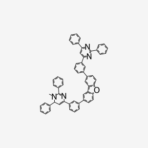 CN1C(c2ccccc2)=NC(c2cccc(-c3ccc4oc5ccc(-c6cccc(-c7cc(-c8ccccc8)nc(-c8ccccc8)n7)c6)cc5c4c3)c2)=CC1c1ccccc1